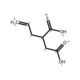 C=CCC(CC(=O)O)C(O)=S